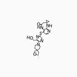 C[C@H]1CC2(CCN(c3ncc(Sc4ccnc5c4NC(=O)CC4(CC4)N5)nc3CO)CC2)CO1